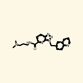 CN(C)CCCNC(=O)c1ccc2nnn(Cc3ccc4ncccc4c3)c2n1